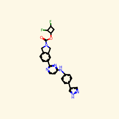 O=C(OC1CC(F)C1F)N1Cc2ccc(-c3nccc(Nc4ccc(-c5cn[nH]c5)cc4)n3)cc2C1